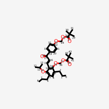 CCCc1cc(CCC)c(OC(C)C)c(C=CC(=O)c2ccc(OCOC(=O)C(C)(C)C)cc2)c1OCOC(=O)C(C)(C)C